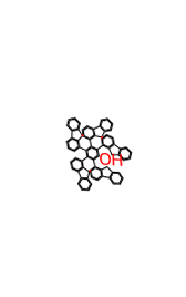 Oc1c(-c2cccc3c2Cc2ccccc2-3)c(-c2cccc3c2Cc2ccccc2-3)c(-c2cccc3c2Cc2ccccc2-3)c(-c2cccc3c2Cc2ccccc2-3)c1-c1cccc2c1Cc1ccccc1-2